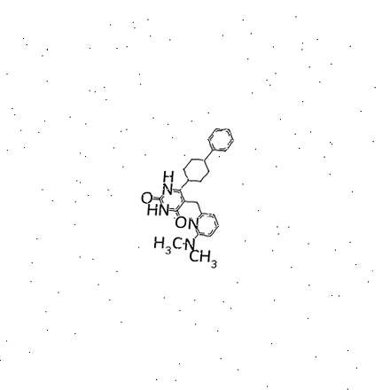 CN(C)c1cccc(Cc2c(C3CCC(c4ccccc4)CC3)[nH]c(=O)[nH]c2=O)n1